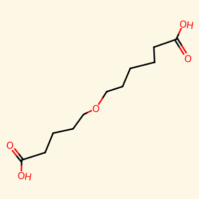 O=C(O)CCCCCOCCCCC(=O)O